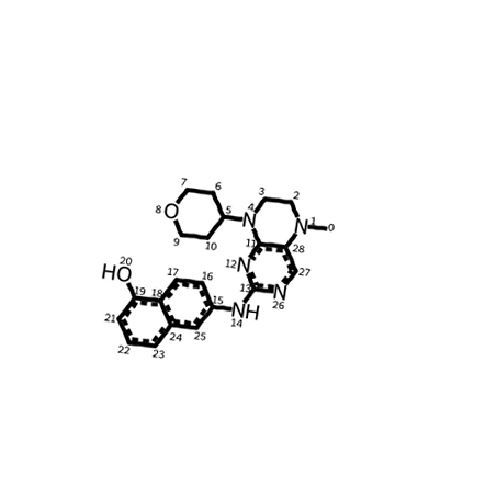 CN1CCN(C2CCOCC2)c2nc(Nc3ccc4c(O)cccc4c3)ncc21